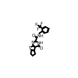 O=C(NCc1ccccc1C(F)(F)F)c1nc2sc3c(c2c(=O)[nH]1)CCC3